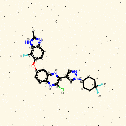 Cc1nc2ccc(Oc3ccc4nc(Cl)c(-c5cnn(C6CCC(F)(F)CC6)c5)nc4c3)c(F)c2[nH]1